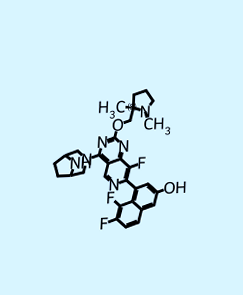 CN1CCC[C@@]1(C)COc1nc(N2CC3CCC(C2)N3)c2cnc(-c3cc(O)cc4ccc(F)c(F)c34)c(F)c2n1